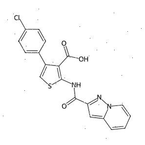 O=C(Nc1scc(-c2ccc(Cl)cc2)c1C(=O)O)c1cc2ccccn2n1